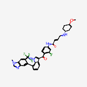 CO[C@H]1CC[C@H](NC/C=C/C(=O)Nc2ccc(C(=O)c3c[nH]c4c(-c5cc6ncn(C)c6cc5C(F)(F)F)cccc34)c(F)c2)CC1